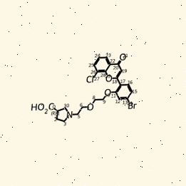 O=C(O)[C@@H]1CCN(CCOCCOc2cc(Br)ccc2-c2cc(=O)c3cccc(Cl)c3o2)C1